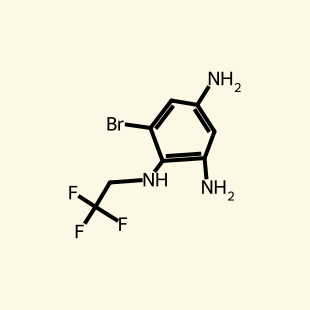 Nc1cc(N)c(NCC(F)(F)F)c(Br)c1